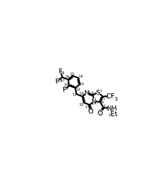 CCNC(=O)c1c(C(F)(F)F)sc2nc(Cc3cccc(C(F)F)c3F)cc(=O)n12